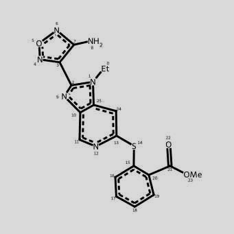 CCn1c(-c2nonc2N)nc2cnc(Sc3ccccc3C(=O)OC)cc21